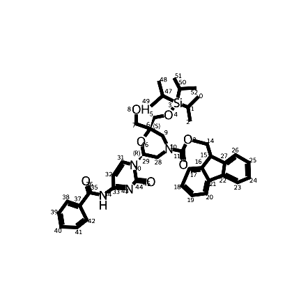 CC(C)[Si](OC[C@@]1(CO)CN(C(=O)OCC2c3ccccc3-c3ccccc32)C[C@H](n2ccc(NC(=O)c3ccccc3)nc2=O)O1)(C(C)C)C(C)C